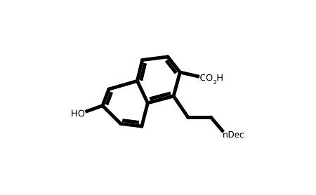 CCCCCCCCCCCCc1c(C(=O)O)ccc2cc(O)ccc12